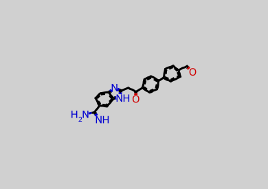 N=C(N)c1ccc2nc(CC(=O)c3ccc(-c4ccc(C=O)cc4)cc3)[nH]c2c1